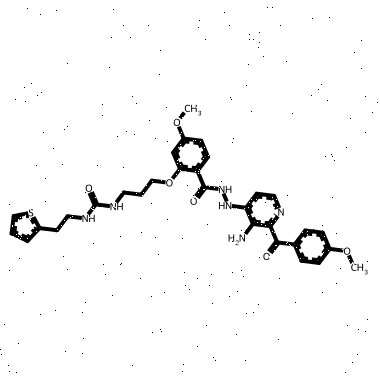 COc1ccc(C(=O)c2nccc(NNC(=O)c3ccc(OC)cc3OCCCNC(=O)NCCc3cccs3)c2N)cc1